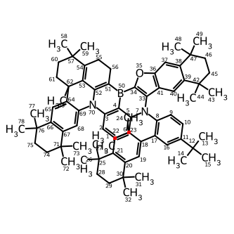 Cc1cc2c3c(c1)N(c1ccc(C(C)(C)C)cc1-c1cc4c(cc1C)C(C)(C)CCC4(C)C)c1c(oc4cc5c(cc14)C(C)(C)CCC5(C)C)B3C1=C3C4=C(CC1)C(C)(C)CCC4(C)c1cc4c(cc1N32)C(C)(C)CCC4(C)C